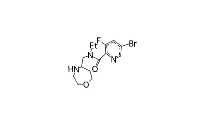 CCN(CC1CCOCCN1)C(=O)c1ncc(Br)cc1F